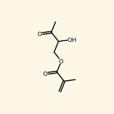 C=C(C)C(=O)OCC(O)C(C)=O